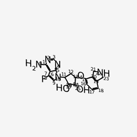 Nc1ncnc2c1c(F)cn2C1CC(Oc2cccc3c2CNC3)[C@@H](O)[C@H]1O